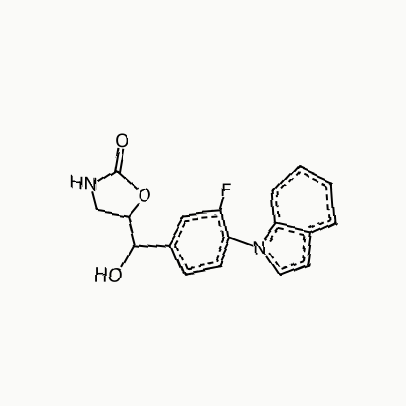 O=C1NCC(C(O)c2ccc(-n3ccc4ccccc43)c(F)c2)O1